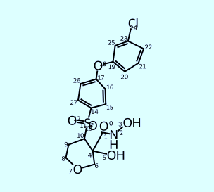 O=C(NO)C1(O)COCCC1S(=O)(=O)c1ccc(Oc2cccc(Cl)c2)cc1